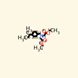 CCOC(=O)CN(CC(=O)OCC)Cc1ccc(C(C)CC)cc1